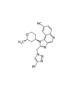 CC(C)c1cn(Cc2nc3cnc4ccc(C#N)cc4c3n2[C@@H]2CCO[C@H](C)C2)nn1